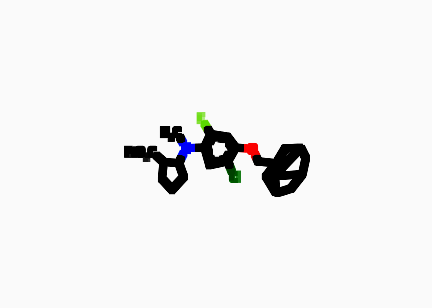 CCOC(=O)C1CCCC1N(C)c1cc(Cl)c(OCC23CC4CC(CC(C4)C2)C3)cc1F